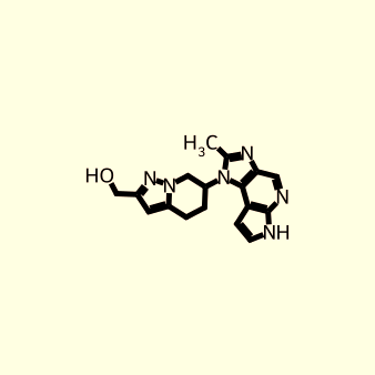 Cc1nc2cnc3[nH]ccc3c2n1C1CCc2cc(CO)nn2C1